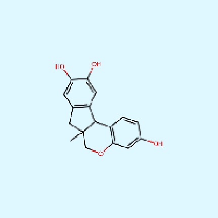 CC12COc3cc(O)ccc3C1c1cc(O)c(O)cc1C2